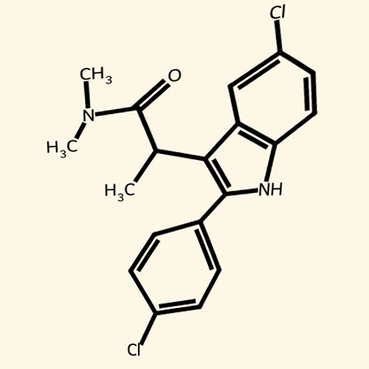 CC(C(=O)N(C)C)c1c(-c2ccc(Cl)cc2)[nH]c2ccc(Cl)cc12